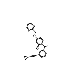 CC(c1cc(C#CC2CC2)ccn1)n1ccc(OCc2ncccn2)cc1=O